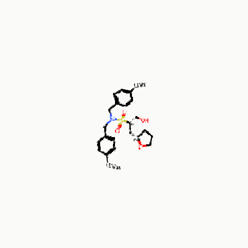 COc1ccc(CN(Cc2ccc(OC)cc2)S(=O)(=O)[C@H](CO)C[C@@H]2CCCO2)cc1